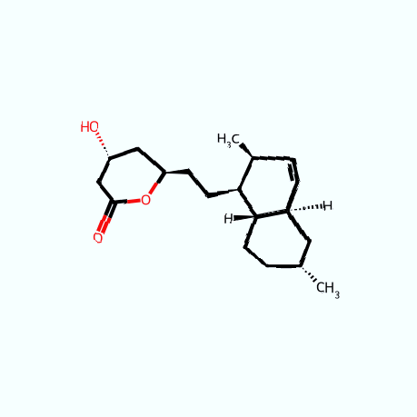 C[C@@H]1CC[C@@H]2[C@@H](CC[C@@H]3C[C@@H](O)CC(=O)O3)[C@@H](C)C=C[C@H]2C1